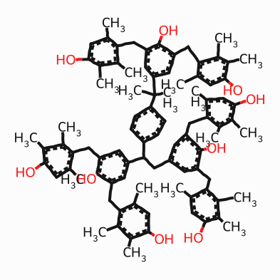 Cc1cc(O)c(C)c(C)c1Cc1cc(CC(c2ccc(C(C)(C)c3cc(Cc4c(C)cc(O)c(C)c4C)c(O)c(Cc4c(C)cc(O)c(C)c4C)c3)cc2)c2cc(Cc3c(C)cc(O)c(C)c3C)c(O)c(Cc3c(C)cc(O)c(C)c3C)c2)cc(Cc2c(C)cc(O)c(C)c2C)c1O